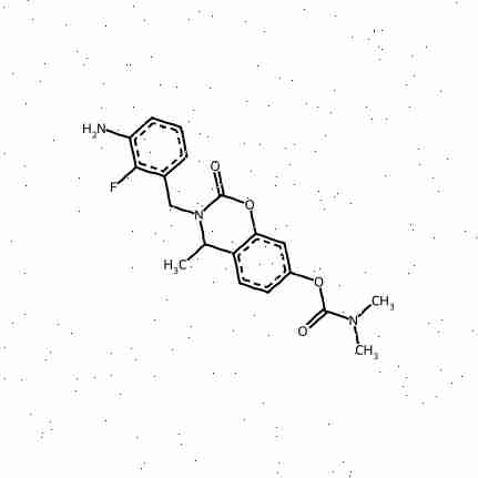 CC1c2ccc(OC(=O)N(C)C)cc2OC(=O)N1Cc1cccc(N)c1F